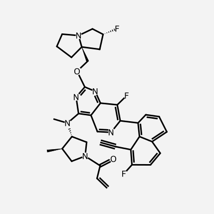 C#Cc1c(F)ccc2cccc(-c3ncc4c(N(C)[C@@H]5CN(C(=O)C=C)C[C@H]5C)nc(OC[C@@]56CCCN5C[C@H](F)C6)nc4c3F)c12